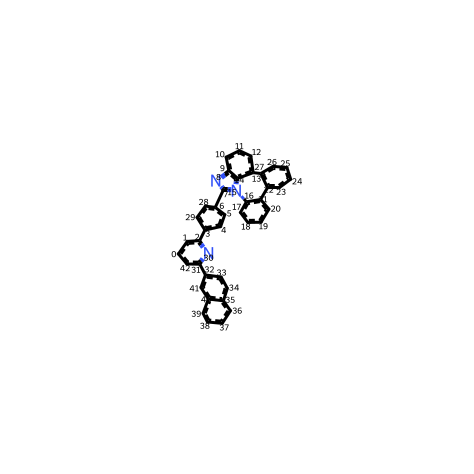 c1cc(-c2ccc(-c3nc4cccc5c4n3-c3ccccc3-c3ccccc3-5)cc2)nc(-c2ccc3ccccc3c2)c1